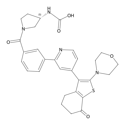 O=C(O)N[C@H]1CCN(C(=O)c2cccc(-c3cc(-c4c(N5CCOCC5)sc5c4CCCC5=O)ccn3)c2)C1